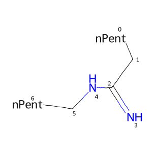 [CH2]CCCCCC(=N)NCCCCCC